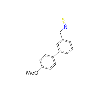 COc1ccc(-c2cccc(CN=S)c2)cc1